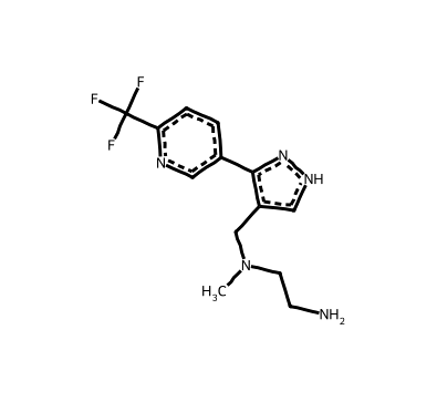 CN(CCN)Cc1c[nH]nc1-c1ccc(C(F)(F)F)nc1